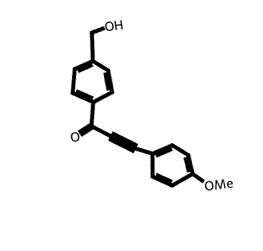 COc1ccc(C#CC(=O)c2ccc(CO)cc2)cc1